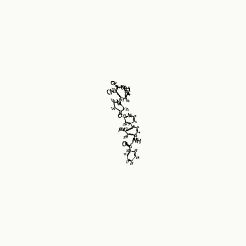 O=C(Nc1ccc(-c2ccnc(O[C@@H]3CCN(c4cn[nH]c(=O)c4Cl)C3)c2)c(F)c1)c1ccccc1